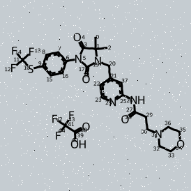 CC1(C)C(=O)N(c2ccc(SC(F)(F)F)cc2)C(=O)N1Cc1ccnc(NC(=O)CCN2CCOCC2)c1.O=C(O)C(F)(F)F